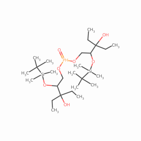 CCC(O)(CC)C(CO[PH](=O)OCC(O[Si](C)(C)C(C)(C)C)C(O)(CC)CC)O[Si](C)(C)C(C)(C)C